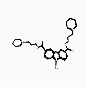 CCn1c2ccc(C(=O)OCCCN3CCCCC3)cc2c2cc(C(=O)OCCCN3CCCCC3)ccc21